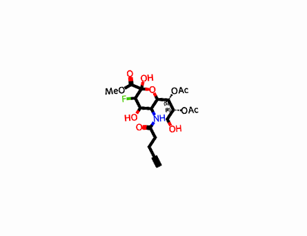 C#CCCC(=O)NC1C(O)C(F)C(O)(C(=O)OC)OC1[C@H](OC(C)=O)[C@@H](CO)OC(C)=O